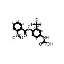 O=C(O)Nc1ccc(NC(=O)c2ccccc2[N+](=O)[O-])c(C(F)(F)F)c1